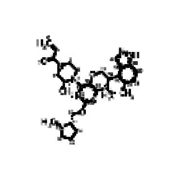 C=CC(=O)N1CCN(c2nc(OC[C@@H]3CCCN3C)nc3c2OCC(c2c(C)ccc4[nH]ncc24)N3C)[C@@H](C)C1